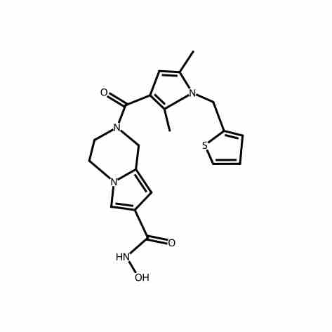 Cc1cc(C(=O)N2CCn3cc(C(=O)NO)cc3C2)c(C)n1Cc1cccs1